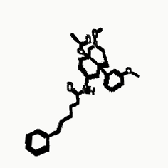 COc1cccc(C23CCN(OC)CC2(OC(C)=O)CCC(NC(=O)CCCCCc2ccccc2)C3)c1